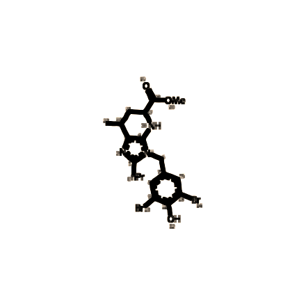 CCCc1nc2c(n1Cc1cc(Br)c(O)c(Br)c1)NC(C(=O)OC)CC2C